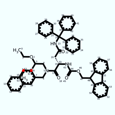 CCOC(CN(Cc1ccc2ccccc2c1)C(=O)[C@H](CC(=O)NC(c1ccccc1)(c1ccccc1)c1ccccc1)NC(=O)OCC1c2ccccc2-c2ccccc21)OCC